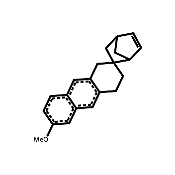 COc1ccc2cc3c(cc2c1)CCC1(C3)CC2C=CC1C2